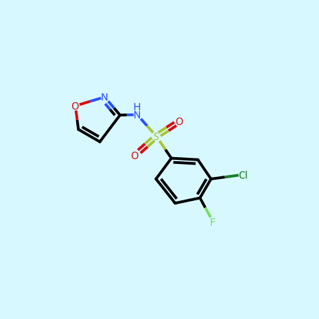 O=S(=O)(Nc1ccon1)c1ccc(F)c(Cl)c1